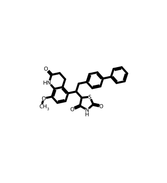 COc1ccc(C(Cc2ccc(-c3ccccc3)cc2)C2SC(=O)NC2=O)c2c1NC(=O)CC2